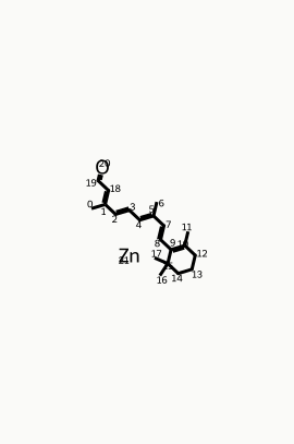 CC(C=CC=C(C)C=CC1=C(C)CCCC1(C)C)=CC=O.[Zn]